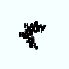 CC1C(=O)N(CC(F)F)CCN1c1ncc2[nH]nc(-c3cnn(C)c3)c2n1